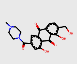 CN1CCN(C(=O)c2cc(O)c3c(c2)C(=O)c2ccc(CO)c(O)c2C3=O)CC1